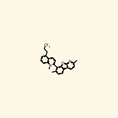 Cc1ccc2c(n1)oc1c(-c3ccc4c(CCC(F)(F)F)cccc4[n+]3C)c(C)ccc12